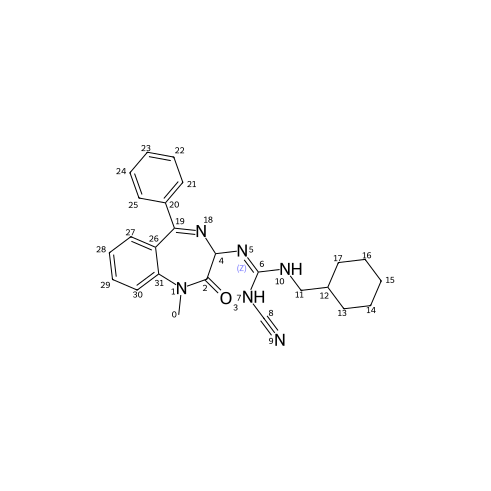 CN1C(=O)C(/N=C(\NC#N)NCC2CCCCC2)N=C(c2ccccc2)c2ccccc21